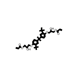 C=CC(=O)OCC(O)COc1ccc(C(C)(C)c2ccc(OCC(O)COC(=O)C=C)c(C(C)(C)C)c2)cc1C(C)(C)C